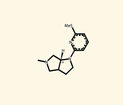 CSc1cccc(N2CCC3CN(C)C[C@@H]32)n1